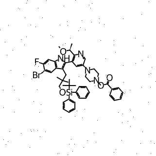 CO[C@@H](C)c1ncc(N2CCN(OC(=O)c3ccccc3)CC2)cc1-c1[nH]c2cc(F)c(Br)cc2c1CC(C)(C)CO[Si](c1ccccc1)(c1ccccc1)C(C)(C)C